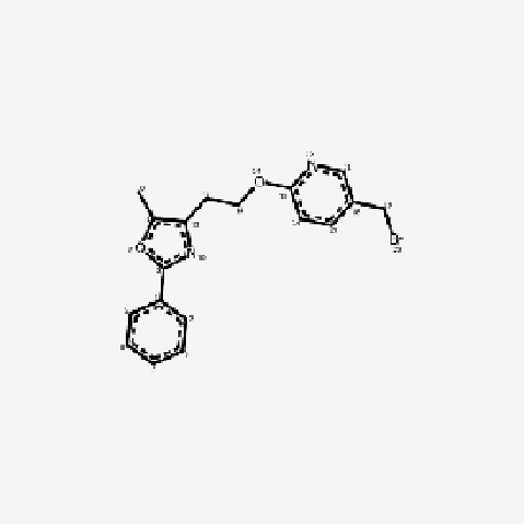 Cc1oc(-c2ccccc2)nc1CCOc1ccc(CBr)cn1